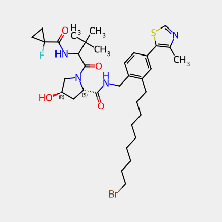 Cc1ncsc1-c1ccc(CNC(=O)[C@@H]2C[C@@H](O)CN2C(=O)C(NC(=O)C2(F)CC2)C(C)(C)C)c(CCCCCCCCCBr)c1